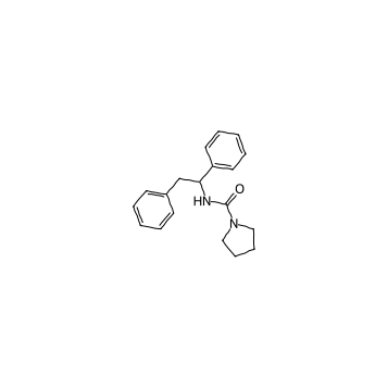 O=C(NC(Cc1ccccc1)c1ccccc1)N1CCCC1